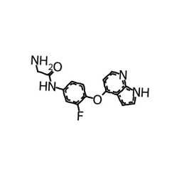 NCC(=O)Nc1ccc(Oc2ccnc3[nH]ccc23)c(F)c1